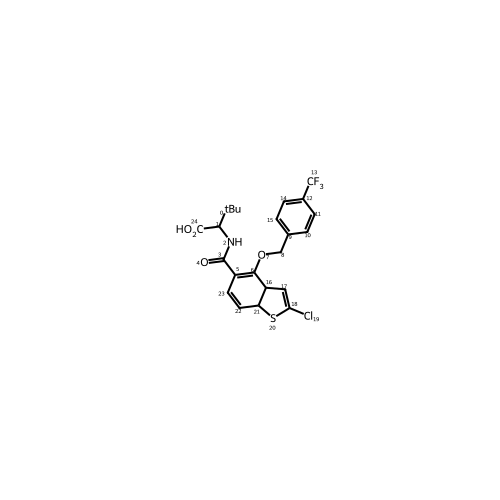 CC(C)(C)C(NC(=O)C1=C(OCc2ccc(C(F)(F)F)cc2)C2C=C(Cl)SC2C=C1)C(=O)O